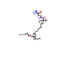 COCCCOc1cc(CCCCCCC(C(=O)NCCC(N)=O)(C(C)C)C(C)C)ccc1OC